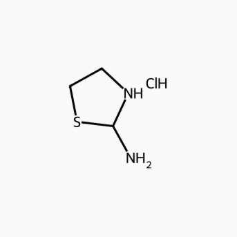 Cl.NC1NCCS1